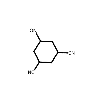 N#CC1CC(C#N)CC(N=O)C1